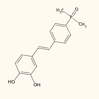 CP(C)(=O)c1ccc(C=Cc2ccc(O)c(O)c2)cc1